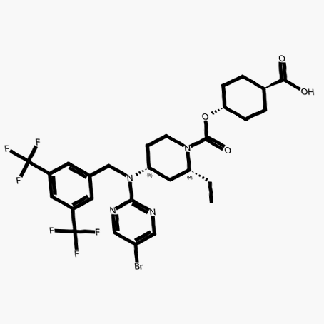 CC[C@@H]1C[C@H](N(Cc2cc(C(F)(F)F)cc(C(F)(F)F)c2)c2ncc(Br)cn2)CCN1C(=O)O[C@H]1CC[C@H](C(=O)O)CC1